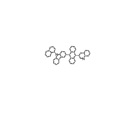 c1ccc2ncc(-c3c4ccccc4c(-c4ccc5c(c4)c4ccccc4n5-c4cccc5ccccc45)c4ccccc34)cc2c1